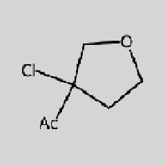 CC(=O)C1(Cl)CCOC1